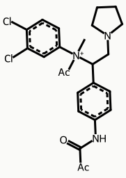 CC(=O)C(=O)Nc1ccc(C(CN2CCCC2)[N+](C)(C(C)=O)c2ccc(Cl)c(Cl)c2)cc1